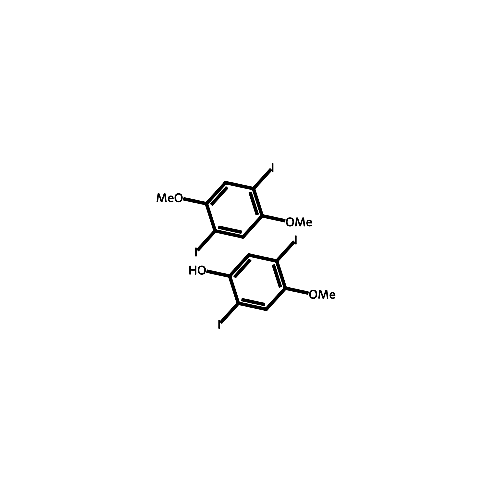 COc1cc(I)c(O)cc1I.COc1cc(I)c(OC)cc1I